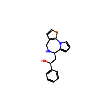 OC(CC1NCc2ccsc2-n2cccc21)c1ccccc1